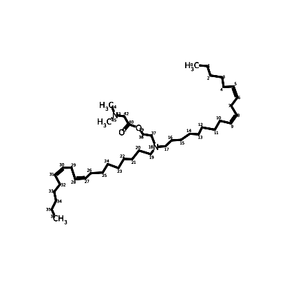 CCCCC/C=C\C/C=C\CCCCCCCCN(CCCCCCCC/C=C\C/C=C\CCCCC)CCOC(=O)CN(C)C